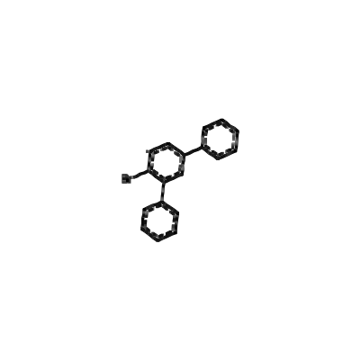 Brc1[c]cc(-c2ccccc2)cc1-c1ccccc1